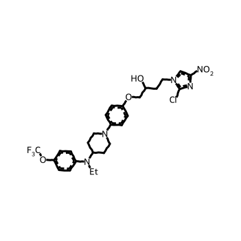 CCN(c1ccc(OC(F)(F)F)cc1)C1CCN(c2ccc(OCC(O)CCn3cc([N+](=O)[O-])nc3Cl)cc2)CC1